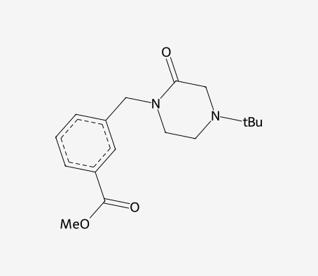 COC(=O)c1cccc(CN2CCN(C(C)(C)C)CC2=O)c1